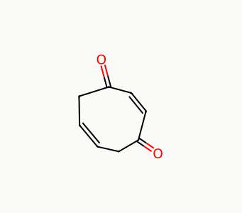 O=C1C=CC(=O)CC=CC1